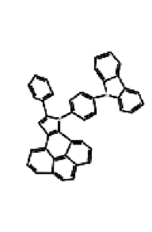 c1ccc(-c2cc3c4cccc5ccc6cccc(c6c54)c3n2-c2ccc(-n3c4ccccc4c4ccccc43)cc2)cc1